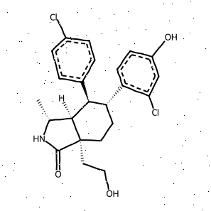 C[C@H]1NC(=O)[C@]2(CCO)CC[C@@H](c3ccc(O)cc3Cl)[C@H](c3ccc(Cl)cc3)[C@H]12